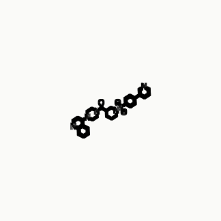 O=C(C1CCCN(S(=O)(=O)c2ccc(-c3cccnc3)cc2)C1)N1CCN(c2ccnc3ccccc23)CC1